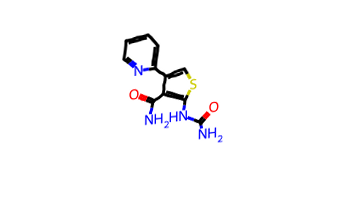 NC(=O)Nc1scc(-c2ccccn2)c1C(N)=O